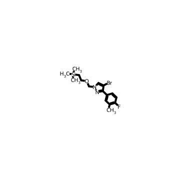 Cc1cc(-c2nn(COCC[Si](C)(C)C)cc2Br)ccc1F